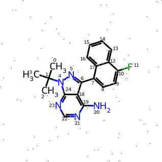 CC(C)(C)n1nc(-c2ccc(F)c3ccccc23)c2c(N)ncnc21